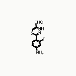 Nc1ccc(C2=NNC(C=O)=CS2)c(F)c1